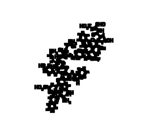 CCCC[C@@H](C(=O)N1C[C@@H](O)C[C@@H]1C(=O)N[C@H](C=O)CC(=O)O)N(C)C(=O)C(Cc1ccccc1)N(C)C(=O)[C@H](Cc1cc(F)c(F)c(F)c1)NC(=O)CSC[C@H](NC(=O)[C@H](CCCN)NC(=O)[C@H](Cc1ccc(O)cc1)NC(=O)[C@H](Cc1c[nH]c2ccccc12)NC(=O)[C@H]1C[C@H](O)CN1C(=O)[C@H](CCC(=O)O)NC(=O)C(Cc1ccccc1)N(C)C(=O)[C@@H](N)C(C)C)C(=O)NCC(N)=O